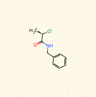 C[C@@H](Cl)C(=O)NCc1ccccc1